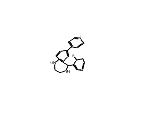 FC1CC=CC=C1C1NCCNc2ccc(-c3ccncc3)cc21